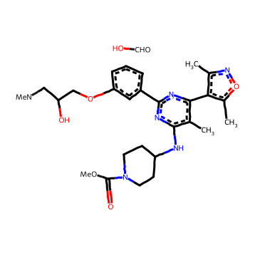 CNCC(O)COc1cccc(-c2nc(NC3CCN(C(=O)OC)CC3)c(C)c(-c3c(C)noc3C)n2)c1.O=CO